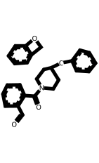 O=Cc1ccccc1C(=O)N1CCC(Cc2ccccc2)CC1.c1ccc2c(c1)CO2